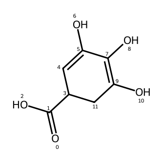 O=C(O)C1C=C(O)C(O)=C(O)C1